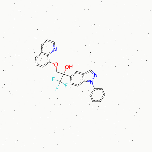 OC(COc1cccc2cccnc12)(c1ccc2c(cnn2-c2ccccc2)c1)C(F)(F)F